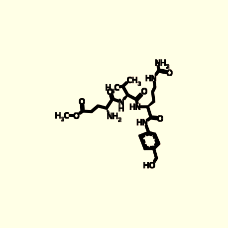 COC(=O)CC[C@@H](N)C(=O)N[C@H](C(=O)N[C@@H](CCCNC(N)=O)C(=O)Nc1ccc(CO)cc1)C(C)C